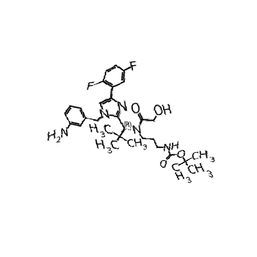 CC(C)(C)OC(=O)NCCCN(C(=O)CO)[C@@H](c1nc(-c2cc(F)ccc2F)cn1Cc1cccc(N)c1)C(C)(C)C